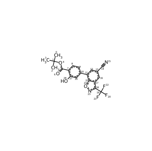 CC(C)(C)OC(=O)c1ccc(-c2cc(C#N)cc3c(C(F)(F)F)noc23)cc1O